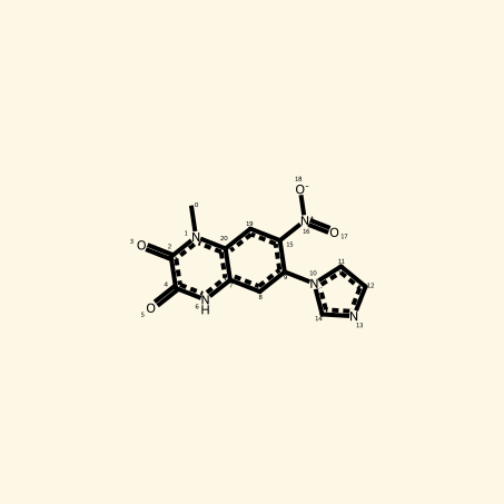 Cn1c(=O)c(=O)[nH]c2cc(-n3ccnc3)c([N+](=O)[O-])cc21